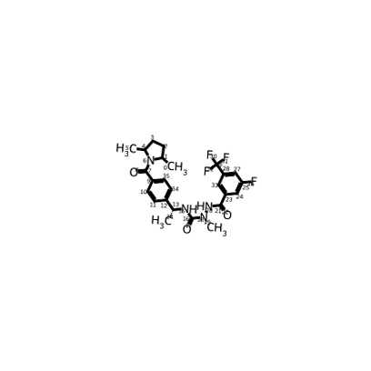 CC1CCC(C)N1C(=O)c1ccc([C@@H](C)NC(=O)N(C)NC(=O)c2cc(F)cc(C(F)(F)F)c2)cc1